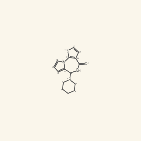 O=C1NC(N2CCCCC2)c2cccn2-c2sccc21